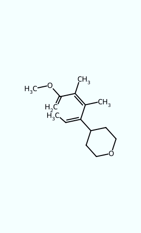 C=C(OC)/C(C)=C(C)\C(=C/C)C1CCOCC1